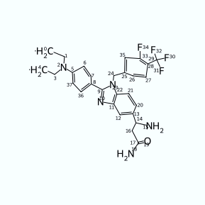 [CH2]CN(C[CH2])c1ccc(-c2nc3cc(C(N)CC(N)=O)ccc3n2Cc2ccc(C(F)(F)F)c(F)c2)cc1